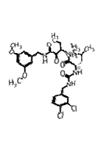 CCC(NC(=O)[C@H](CC(C)C)NC(=O)NCc1ccc(Cl)c(Cl)c1)C(=O)C(=O)NCc1cc(OC)cc(OC)c1